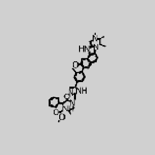 CCCN(Cc1ncc(-c2ccc3c(c2)COc2cc4c(ccc5nc(CN(C)[C@@H](C)CC)[nH]c54)cc2-3)[nH]1)C(=O)[C@H](NC(=O)OC)c1ccccc1